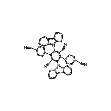 N#Cc1ccc(-c2c(C#N)c(-n3c4ccccc4c4ccccc43)c(-c3ccc(C#N)cc3)c(C#N)c2-n2c3ccccc3c3ccccc32)cc1